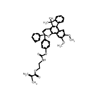 C=C(C)C(=O)OCCNC(=O)Oc1ccc(C2(c3ccccc3)C=Cc3c4c(c5cc(OC)c(OC)cc5c3O2)-c2ccccc2C4(C)C)cc1